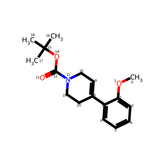 COc1ccccc1C1=CCN(C(=O)OC(C)(C)C)CC1